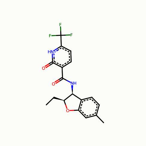 CC[C@@H]1Oc2cc(C)ccc2[C@@H]1NC(=O)c1ccc(C(F)(F)F)[nH]c1=O